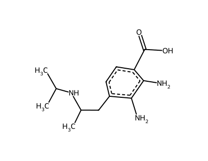 CC(C)NC(C)Cc1ccc(C(=O)O)c(N)c1N